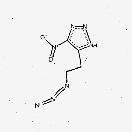 [N-]=[N+]=NCCc1[nH]nnc1[N+](=O)[O-]